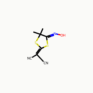 CC1(C)SC(=C(C#N)C#N)SC1=NO